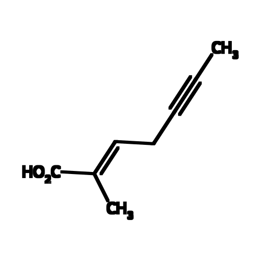 CC#CCC=C(C)C(=O)O